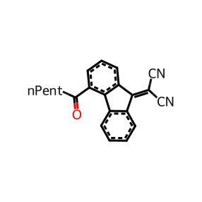 CCCCCC(=O)c1cccc2c1-c1ccccc1C2=C(C#N)C#N